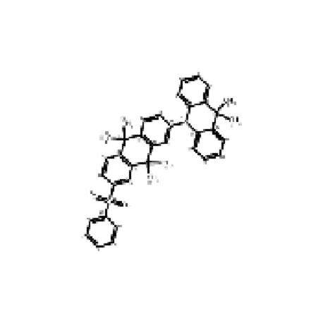 CC1(C)c2ccccc2N(c2ccc3c(c2)C(C)(C)c2cc(S(=O)(=O)c4ccccc4)ccc2C3(C)C)c2ccccc21